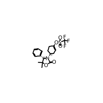 CC1(C)OC(=O)N([C@H]2CC=C(OS(=O)(=O)C(F)(F)F)CC2)[C@H]1c1ccccc1